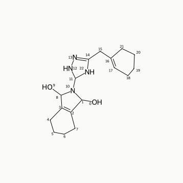 OC1C2=C(CCCC2)C(O)N1C1NN=C(CC2=CCCCC2)N1